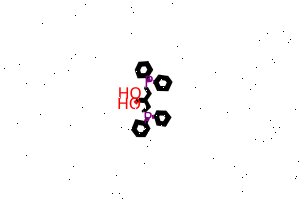 OC(O)=C(CCP(c1ccccc1)c1ccccc1)CCP(c1ccccc1)c1ccccc1